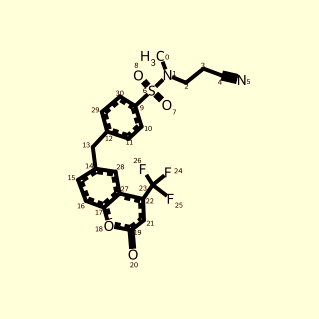 CN(CCC#N)S(=O)(=O)c1ccc(Cc2ccc3oc(=O)cc(C(F)(F)F)c3c2)cc1